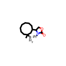 BC1(C)CCCCCCCC(C2COC(=O)N2C(C)C)C1